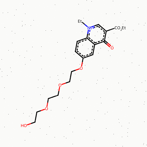 CCOC(=O)c1cn(CC)c2ccc(OCCOCCOCCO)cc2c1=O